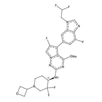 COc1nc(N[C@@H]2CCN(C3COC3)CC2(F)F)nn2cc(F)c(-c3cc(F)c4ncn(CC(F)F)c4c3)c12